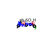 CS(=O)(=O)O.Cc1ccc(-n2nc(C(C)(C)C)cc2NC(=O)Nc2ccc(N3CCN(C(=O)c4ccc(F)cc4)CC3)nc2C)cc1